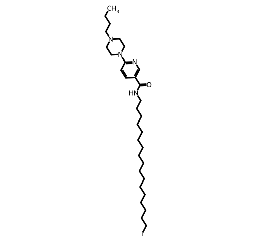 CCCCN1CCN(c2ccc(C(=O)NCCCCCCCCCCCCCCCCCI)cn2)CC1